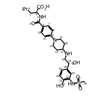 CC(C)C[C@H](NC(=O)c1ccc(N2CCC(NC[C@H](O)c3ccc(O)c(NS(C)(=O)=O)c3)CC2)cc1)C(=O)O